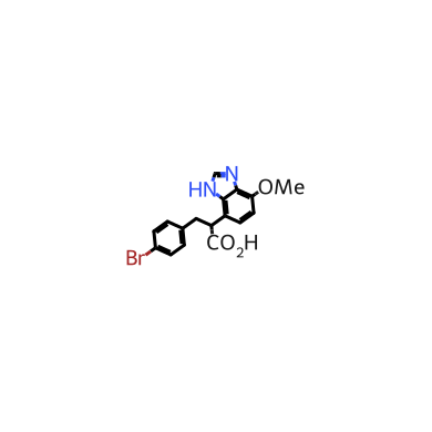 COc1ccc(C(Cc2ccc(Br)cc2)C(=O)O)c2[nH]cnc12